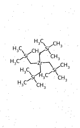 C[Si](C)(C)[CH2][Zr]([CH2][Si](C)(C)C)([CH2][Si](C)(C)C)[CH2][Si](C)(C)C